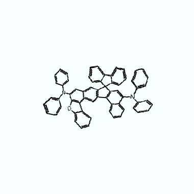 c1ccc(N(c2ccccc2)c2cc3c(c4ccccc24)-c2cc4c(cc2C32c3ccccc3-c3ccccc32)cc(N(c2ccccc2)c2ccccc2)c2oc3ccccc3c24)cc1